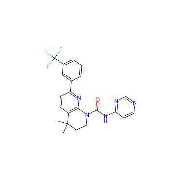 CC1(C)CCN(C(=O)Nc2ccncn2)c2nc(-c3cccc(C(F)(F)F)c3)ccc21